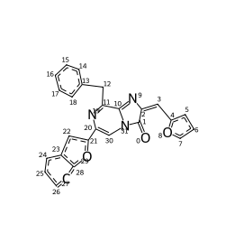 O=C1C(=Cc2ccco2)N=C2C(Cc3ccccc3)=NC(c3cc4ccccc4o3)=CN12